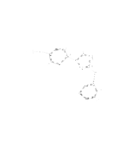 CCCCCCc1ccc(-c2c[nH]c(Cc3ccccc3)n2)cc1